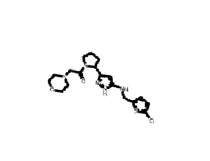 O=C(CN1CCOCC1)N1CCCC1c1cc(NCc2ccc(Cl)s2)[nH]n1